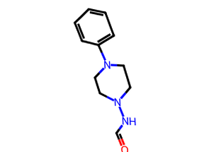 O=CNN1CCN(c2ccccc2)CC1